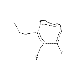 CCc1[c]ccc(F)c1F